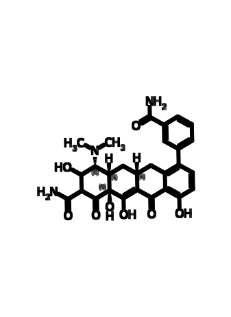 CN(C)[C@H]1C(O)C(C(N)=O)C(=O)[C@@]2(O)C(O)=C3C(=O)c4c(O)ccc(-c5cccc(C(N)=O)c5)c4C[C@H]3C[C@@H]12